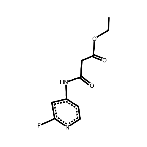 CCOC(=O)CC(=O)Nc1ccnc(F)c1